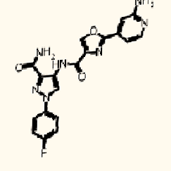 NC(=O)c1nn(-c2ccc(F)cc2)cc1NC(=O)c1coc(-c2ccnc(N)c2)n1